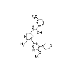 CCOc1ncc(-c2cc(NC(O)c3cccc(C(F)(F)F)c3)cnc2C)nc1N1CCOCC1